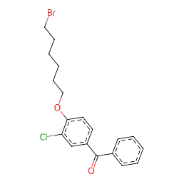 O=C(c1ccccc1)c1ccc(OCCCCCCBr)c(Cl)c1